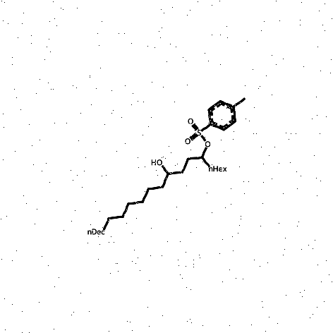 CCCCCCCCCCCCCCCCC(O)CCC(CCCCCC)OS(=O)(=O)c1ccc(C)cc1